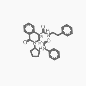 O=C(NCCc1ccccc1)[C@@H]1c2ccccc2C(=O)N(C2CCCC2)[C@H]1C(=O)Nc1ccccc1